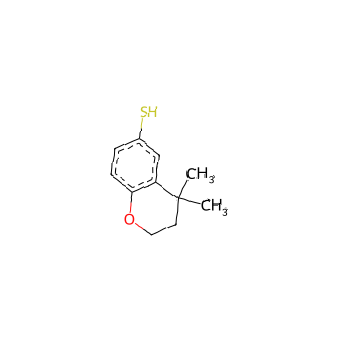 CC1(C)CCOc2ccc(S)cc21